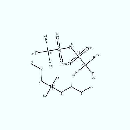 CCCC[N+](C)(C)CCC.O=S(=O)([N-]S(=O)(=O)C(F)(F)F)C(F)(F)F